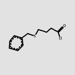 O=C(Cl)CCCSCc1ccccc1